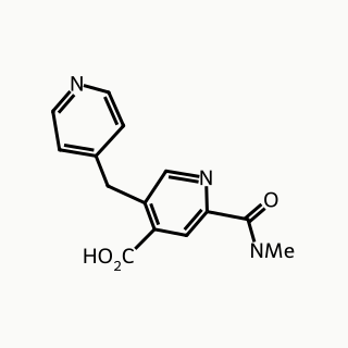 CNC(=O)c1cc(C(=O)O)c(Cc2ccncc2)cn1